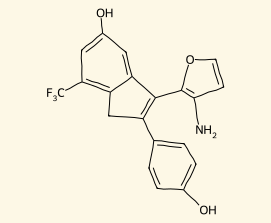 Nc1ccoc1C1=C(c2ccc(O)cc2)Cc2c1cc(O)cc2C(F)(F)F